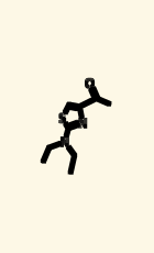 CCN(CC)c1nc(C(C)=O)cs1